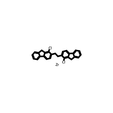 Clc1c(CCc2ccc3c(c2Cl)Cc2ccccc2-3)ccc2c1Cc1ccccc1-2.[Zr]